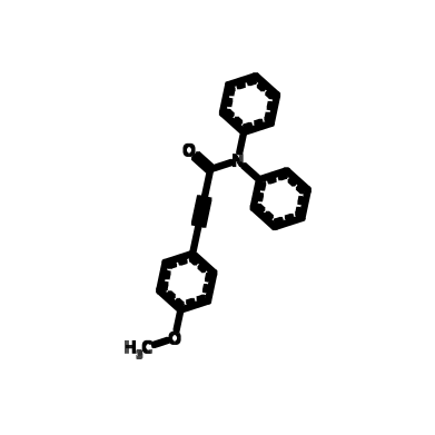 COc1ccc(C#CC(=O)N(c2ccccc2)c2ccccc2)cc1